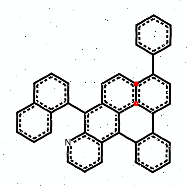 c1ccc(-c2ccc(-c3ccccc3-c3c4ccccc4c(-c4cccc5ccccc45)c4ncccc34)cc2)cc1